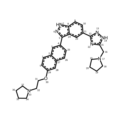 c1cc2cc(-c3n[nH]c4ccc(-c5n[nH]c(CN6CCCC6)n5)cc34)ccc2cc1OCCN1CCCC1